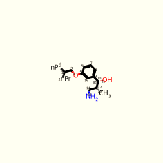 CCCC(CCC)COc1cccc([C@H](O)[C@H](C)CN)c1